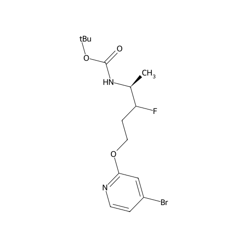 C[C@H](NC(=O)OC(C)(C)C)C(F)CCOc1cc(Br)ccn1